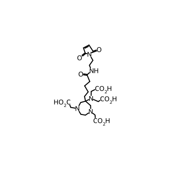 O=C(O)CN1CCN(CC(=O)O)CC(CCCCC(=O)NCCN2C(=O)C=CC2=O)(N(CC(=O)O)CC(=O)O)C1